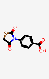 O=C(O)c1ccc(N2C(=O)CSC2=O)cc1